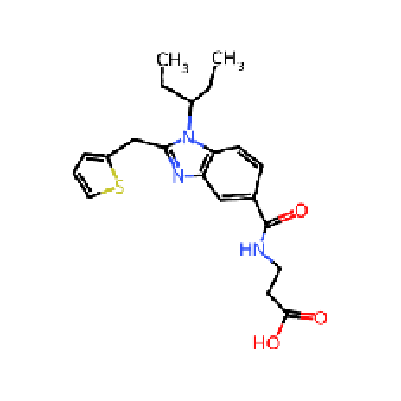 CCC(CC)n1c(Cc2cccs2)nc2cc(C(=O)NCCC(=O)O)ccc21